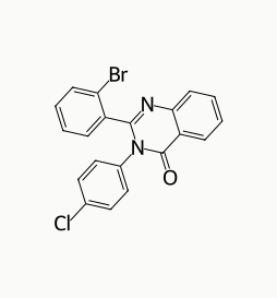 O=c1c2ccccc2nc(-c2ccccc2Br)n1-c1ccc(Cl)cc1